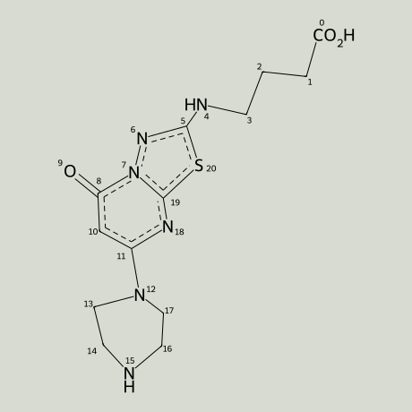 O=C(O)CCCNc1nn2c(=O)cc(N3CCNCC3)nc2s1